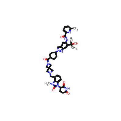 Cn1c(=O)n(C2CCC(=O)NC2=O)c2cccc(CN3CC4(C3)CN(C(=O)C3CCC(n5cc6cc(NC(=O)c7cccc(C(F)(F)F)n7)c(C(C)(C)O)cc6n5)CC3)C4)c21